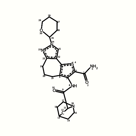 NC(=O)c1sc2c(c1NC(=O)C1CC3CCN1CC3)CCCc1nn(C3CCCCO3)cc1-2